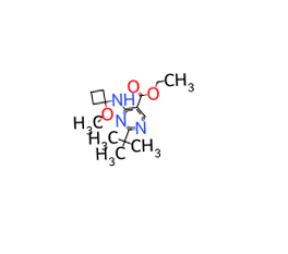 CCOC(=O)c1cnc(C(C)(C)C)nc1NC1(OC)CCC1